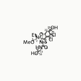 CCN(CCOC)C(=O)c1nc(C(=O)NCC(C)(C)O)sc1-c1ccc(C(C)(C)O)c(Cl)c1Cl